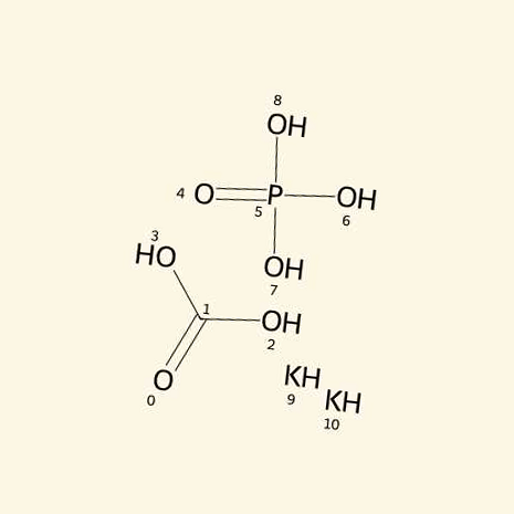 O=C(O)O.O=P(O)(O)O.[KH].[KH]